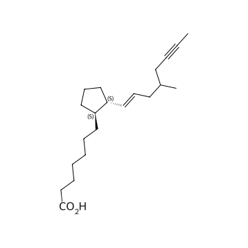 CC#CCC(C)CC=C[C@H]1CCC[C@@H]1CCCCCCC(=O)O